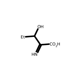 CCC(O)C(=N)C(=O)O